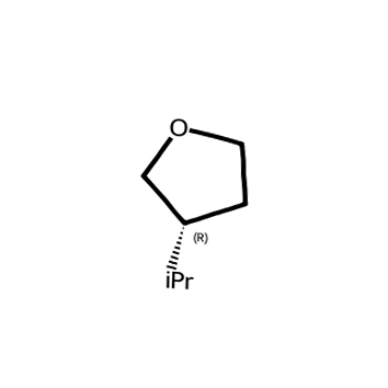 CC(C)[C@H]1CCOC1